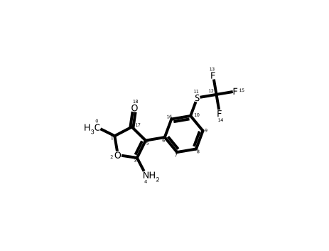 CC1OC(N)=C(c2cccc(SC(F)(F)F)c2)C1=O